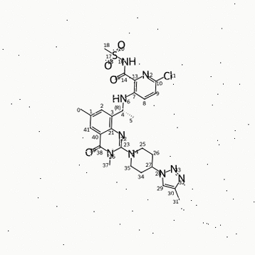 Cc1cc([C@@H](C)Nc2ccc(Cl)nc2C(=O)NS(C)(=O)=O)c2nc(N3CCC(n4cc(C)nn4)CC3)n(C)c(=O)c2c1